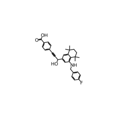 CC1(C)CCC(C)(C)c2c(NCc3ccc(F)cc3)cc(C(O)C#Cc3ccc(C(=O)O)cc3)cc21